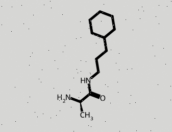 C[C@@H](N)C(=O)NCCCC1CCCCC1